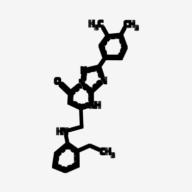 CCc1ccccc1NCc1cc(=O)n2nc(-c3ccc(C)c(C)c3)nc2[nH]1